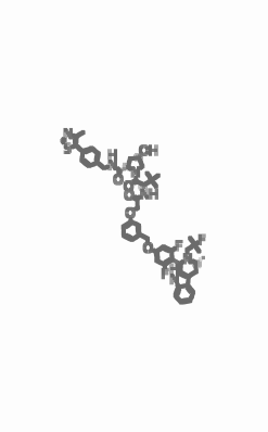 Cc1ncsc1-c1ccc(CNC(=O)[C@@H]2C[C@@H](O)CN2C(=O)[C@@H](NC(=O)COc2cccc(COc3cc(F)c([C@@H]4c5[nH]c6ccccc6c5C[C@@H](C)N4CC(C)(C)F)c(F)c3)c2)C(C)(C)C)cc1